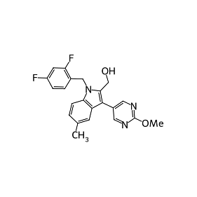 COc1ncc(-c2c(CO)n(Cc3ccc(F)cc3F)c3ccc(C)cc23)cn1